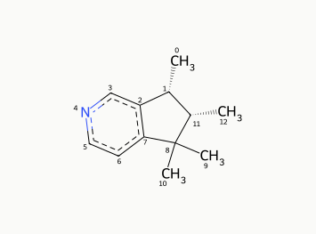 C[C@H]1c2cnccc2C(C)(C)[C@H]1C